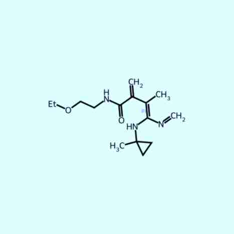 C=N/C(NC1(C)CC1)=C(\C)C(=C)C(=O)NCCOCC